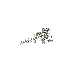 COCCOCCOC(=O)NCC(=O)N[C@@H]1C(O)C[C@](OC(C)C)(C(=O)O)OC1[C@H](O)[C@H](O)CO